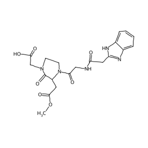 COC(=O)CC1C(=O)N(CC(=O)O)CCN1C(=O)CNC(=O)Cc1nc2ccccc2[nH]1